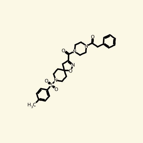 Cc1ccc(S(=O)(=O)N2CCC3(CC2)CC(C(=O)N2CCN(C(=O)Cc4ccccc4)CC2)=NO3)cc1